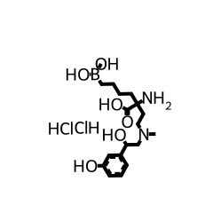 CN(CCC(N)(CCCCB(O)O)C(=O)O)CC(O)c1cccc(O)c1.Cl.Cl